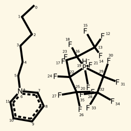 CCCCCC[n+]1ccccc1.FC(F)(F)C(F)(F)[PH-](F)(F)(C(F)(F)C(F)(F)F)C(F)(F)C(F)(F)F